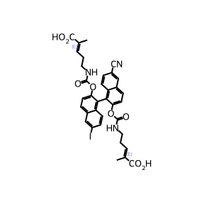 C/C(=C\CCNC(=O)Oc1ccc2cc(I)ccc2c1-c1c(OC(=O)NCC/C=C(\C)C(=O)O)ccc2cc(C#N)ccc12)C(=O)O